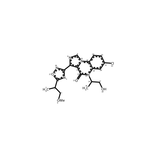 COCC(C)c1nc(-c2ncn3c2c(=O)n(C(C)CO)c2cc(Cl)ccc23)no1